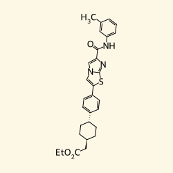 CCOC(=O)C[C@H]1CC[C@H](c2ccc(-c3cn4cc(C(=O)Nc5cccc(C)c5)nc4s3)cc2)CC1